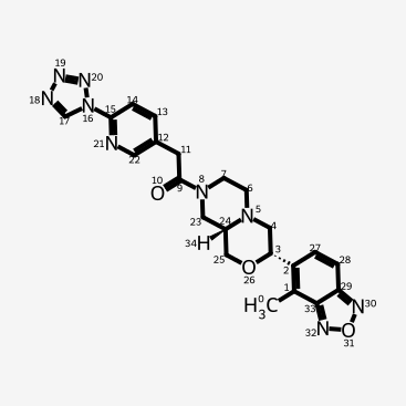 Cc1c([C@H]2CN3CCN(C(=O)Cc4ccc(-n5cnnn5)nc4)C[C@H]3CO2)ccc2nonc12